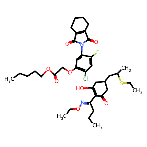 CCC/C(=N\OCC)C1=C(O)CC(CC(C)SCC)CC1=O.CCCCCOC(=O)COc1cc(N2C(=O)C3=C(CCCC3)C2=O)c(F)cc1Cl